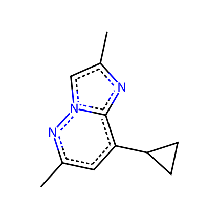 Cc1cn2nc(C)cc(C3CC3)c2n1